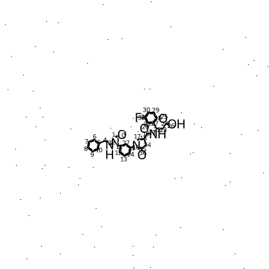 O=CN(NCc1ccccc1)c1cccc(N2CC(C(=O)NC(CC(=O)O)c3cccc(F)c3)CC2=O)c1